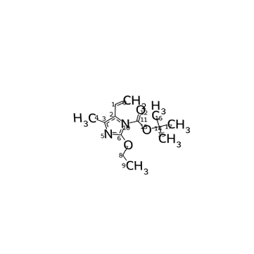 C=Cc1c(C)nc(OCC)n1C(=O)OC(C)(C)C